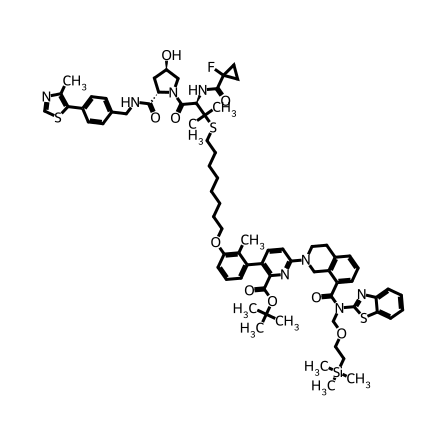 Cc1ncsc1-c1ccc(CNC(=O)[C@@H]2C[C@@H](O)CN2C(=O)[C@@H](NC(=O)C2(F)CC2)C(C)(C)SCCCCCCCCOc2cccc(-c3ccc(N4CCc5cccc(C(=O)N(COCC[Si](C)(C)C)c6nc7ccccc7s6)c5C4)nc3C(=O)OC(C)(C)C)c2C)cc1